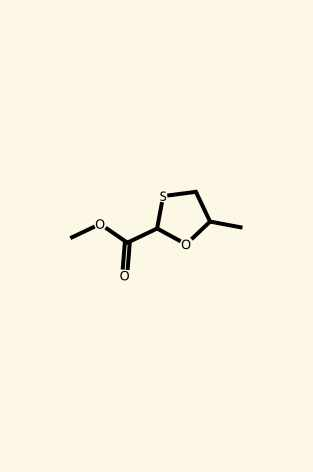 COC(=O)C1OC(C)CS1